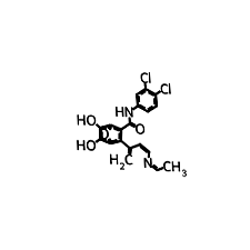 C=C(/C=C\N=C/C)c1c(C(=O)Nc2ccc(Cl)c(Cl)c2)c2oc1c(O)c2O